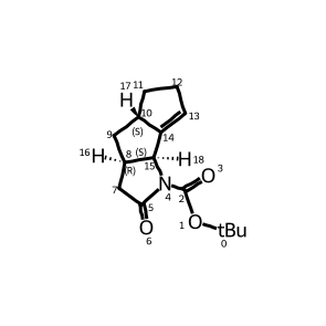 CC(C)(C)OC(=O)N1C(=O)C[C@H]2C[C@@H]3CCC=C3[C@H]21